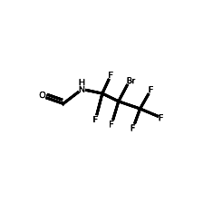 O=[C]NC(F)(F)C(F)(Br)C(F)(F)F